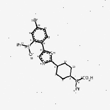 CC(C)N(C(=O)O)C1CCC(c2ncc(-c3ccc(Br)cc3[S+]([O-])C(C)C)s2)CC1